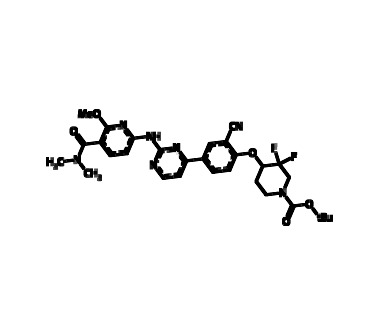 COc1nc(Nc2nccc(-c3ccc(OC4CCN(C(=O)OC(C)(C)C)CC4(F)F)c(C#N)c3)n2)ccc1C(=O)N(C)C